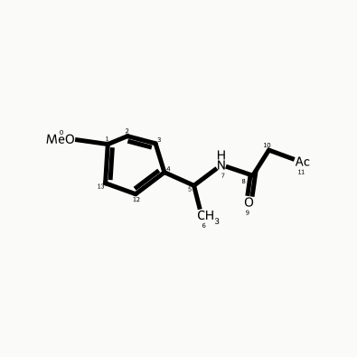 COc1ccc(C(C)NC(=O)CC(C)=O)cc1